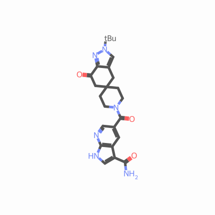 CC(C)(C)n1cc2c(n1)C(=O)CC1(CCN(C(=O)c3cnc4[nH]cc(C(N)=O)c4c3)CC1)C2